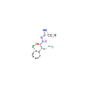 N/C(=N/NC(=O)C(CCCl)c1ccccc1F)C(=O)O